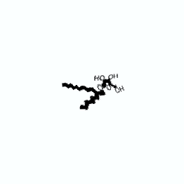 CCCCCCCCCCC(CCCCCC)COC1O[C@H](CO)[C@H](O)[C@H]1O